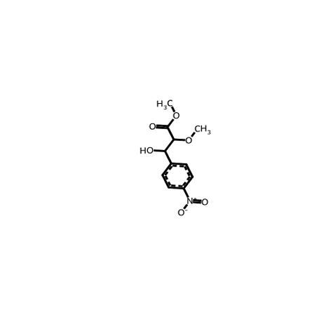 COC(=O)C(OC)C(O)c1ccc([N+](=O)[O-])cc1